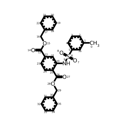 Cc1[c]ccc(S(=O)(=O)Nc2cc(C(=O)OCc3ccccc3)ccc2C(=O)OCc2ccccc2)c1